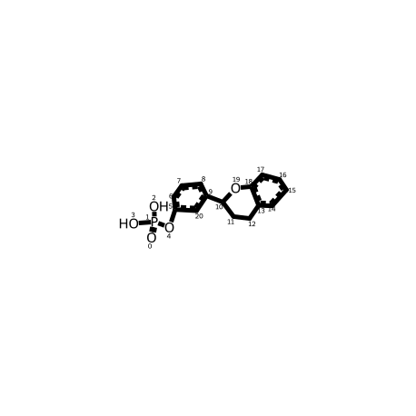 O=P(O)(O)Oc1cccc(C2CCc3ccccc3O2)c1